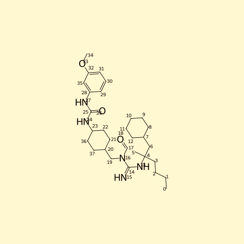 CCCCC(C)(CC1CCCCC1)NC(=N)N(C=O)CC1CCC(NC(=O)Nc2cccc(OC)c2)CC1